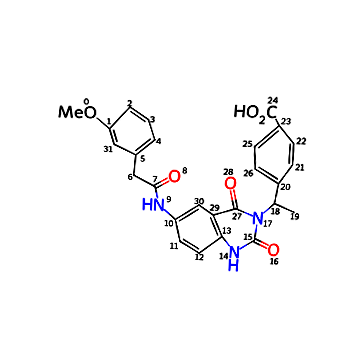 COc1cccc(CC(=O)Nc2ccc3[nH]c(=O)n(C(C)c4ccc(C(=O)O)cc4)c(=O)c3c2)c1